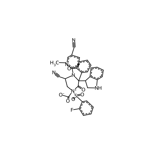 CCOc1ccccc1C1(C2CNc3ccccc32)C(=O)[N+](C(=O)[O-])(S(=O)(=O)c2ccccc2F)CC(C#N)N1c1ccc(C#N)cn1